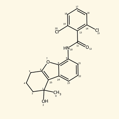 CC1(O)CCCc2oc3c(NC(=O)c4c(Cl)cccc4Cl)cccc3c21